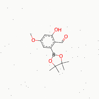 COc1cc(O)c(C=O)c(B2OC(C)(C)C(C)(C)O2)c1